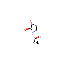 CC(=O)ON1CCC(=O)C1=O